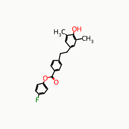 Cc1cc(CCc2ccc(C(=O)Oc3ccc(F)cc3)cc2)cc(C)c1O